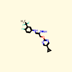 CC(F)(F)c1cc(N/C=C(/COc2ncc(C3CC3)cn2)N=N)ccc1F